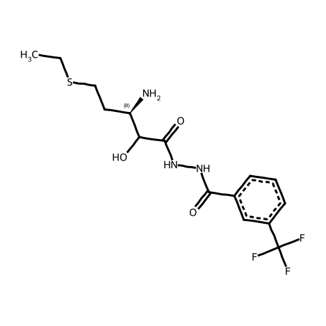 CCSCC[C@@H](N)C(O)C(=O)NNC(=O)c1cccc(C(F)(F)F)c1